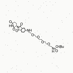 CC(C)(C)OC(=O)NCCOCCOCCOCCOCCNc1ccc2c(c1)C(=O)N(C1CCC(=O)NC1=O)C2=O